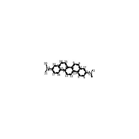 CN(C)c1ccc2c(ccc3c2ccc2c4ccc(N(C)C)cc4ccc23)c1